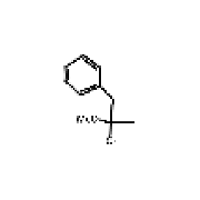 COC(C)([O])Cc1ccccc1